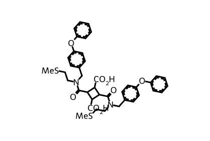 CSCCN(Cc1ccc(Oc2ccccc2)cc1)C(=O)C1C(C(=O)O)C(C(=O)N(CCSC)Cc2ccc(Oc3ccccc3)cc2)C1C(=O)O